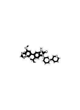 COc1cc(-c2cc3[nH]c(=O)n([C@@H]4CCCN(C5CCCOC5)C4)c3cc2C(C)C)cn2ncnc12